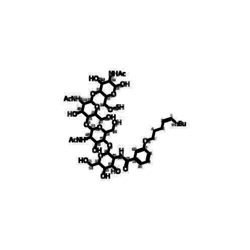 CCCC/C=C\CCCOc1cccc(C(=O)NC2C(OC3C(CO)OC(OC4C(CO)OC(OC5C(COS)OC(O)C(NC(C)=O)C5O)C(NC(C)=O)C4O)C(NC(C)=O)C3O)OC(CO)C(O)C2O)c1